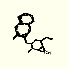 CCC1CC(Cc2cc3ccccc3cc2C)C(C)C2NC12